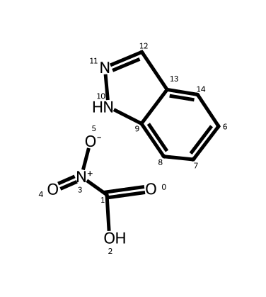 O=C(O)[N+](=O)[O-].c1ccc2[nH]ncc2c1